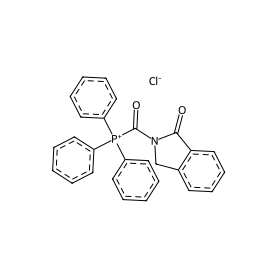 O=C1c2ccccc2CN1C(=O)[P+](c1ccccc1)(c1ccccc1)c1ccccc1.[Cl-]